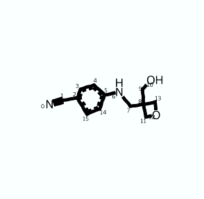 N#Cc1ccc(NCC2(CO)COC2)cc1